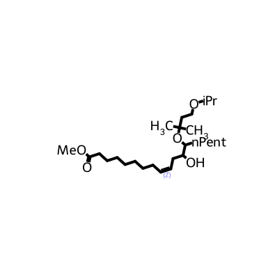 CCCCCC(OC(C)(C)CCOC(C)C)C(O)C/C=C\CCCCCCCC(=O)OC